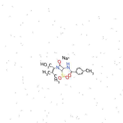 CC(C)=C(C(=O)O)N1C(=O)C(NC(=O)c2ccc(C)cc2)C1[S-](=O)=O.[Na+]